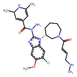 CNC/C=C/C(=O)N1CCCC[C@@H](n2c(N(N)C(=O)C3=CC(C)NC(C)=C3)nc3cc(OC)c(Cl)cc32)C1